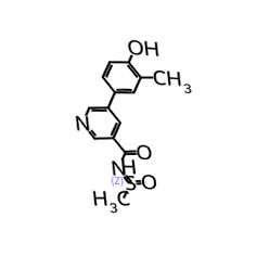 Cc1cc(-c2cncc(C(=O)/N=[SH](/C)=O)c2)ccc1O